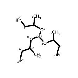 CC(C)CC(C)OB(OC(C)CC(C)C)OC(C)CC(C)C